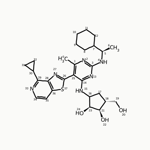 Cc1nc(N[C@H](C)C2CCCCC2)nc(NC2C[C@H](CO)[C@@H](O)[C@H]2O)c1-c1nc2c(C3CC3)nccc2s1